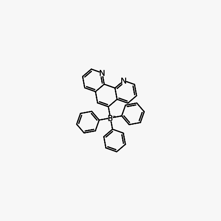 c1ccc([B-](c2ccccc2)(c2ccccc2)c2cc3cccnc3c3ncccc23)cc1